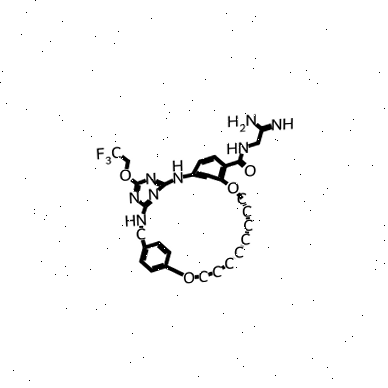 N=C(N)CNC(=O)c1ccc2cc1OCCCCCCCCOc1ccc(cc1)CNc1nc(nc(OCC(F)(F)F)n1)N2